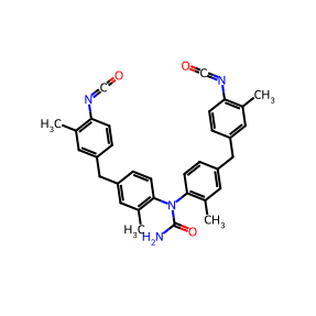 Cc1cc(Cc2ccc(N(C(N)=O)c3ccc(Cc4ccc(N=C=O)c(C)c4)cc3C)c(C)c2)ccc1N=C=O